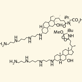 CC(C)[C@H](C(=O)O)N(C)C(=O)CC[C@@H](C)[C@H]1CCC2C3CC[C@@H]4C[C@@H](NCCCNCCCCNCCCN)CC[C@]4(C)C3C[C@H](O)[C@@]21C.CC[C@@H](C)[C@H](NC(=O)CC[C@@H](C)[C@H]1CCC2C3C(CC[C@@]21C)[C@@]1(C)CC[C@H](NCCCNCCCCNCCCN)C[C@H]1C[C@H]3O)C(=O)OC